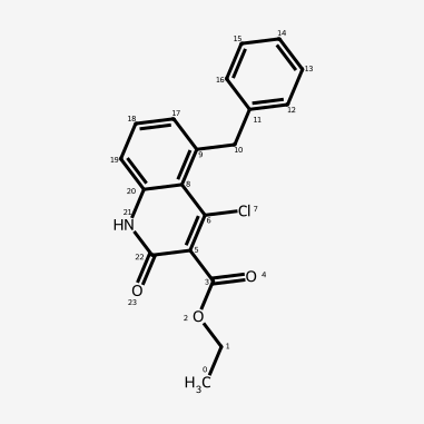 CCOC(=O)c1c(Cl)c2c(Cc3ccccc3)cccc2[nH]c1=O